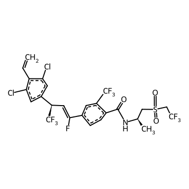 C=Cc1c(Cl)cc([C@@H](/C=C(\F)c2ccc(C(=O)N[C@H](C)CS(=O)(=O)CC(F)(F)F)c(C(F)(F)F)c2)C(F)(F)F)cc1Cl